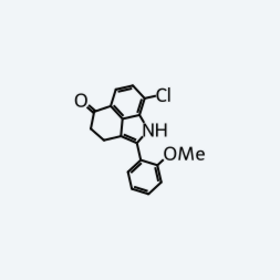 COc1ccccc1-c1[nH]c2c(Cl)ccc3c2c1CCC3=O